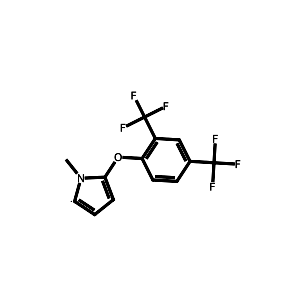 Cn1[c]ccc1Oc1ccc(C(F)(F)F)cc1C(F)(F)F